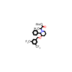 COC(=O)C(C)N1CCCC(OCc2cc(C(F)(F)F)cc(C(F)(F)F)c2)C1c1ccccc1